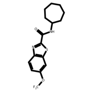 O=C(NC1CCCCCC1)c1nc2ccc(OC(F)(F)F)cc2s1